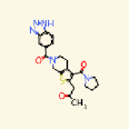 CC(=O)Cc1sc2c(c1C(=O)N1CCCC1)CCN(C(=O)c1ccc3[nH]nnc3c1)C2